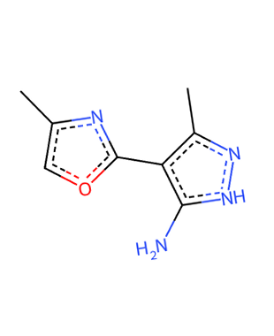 Cc1coc(-c2c(C)n[nH]c2N)n1